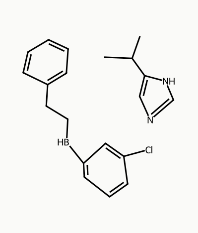 CC(C)c1cnc[nH]1.Clc1cccc(BCCc2ccccc2)c1